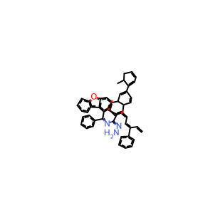 C=C/C(=C\C=C/Cc1ccc2oc3ccccc3c2c1/C(=N\C(=N/N)C1=CC2C=CC(C3=CC=CCC3C)=CC2C=C1)c1ccccc1)c1ccccc1